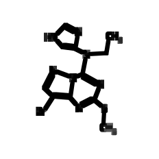 CCN(c1c[nH]cn1)c1nc(SC)nc2c(Br)cnn12